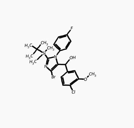 COc1cc(C(O)c2c(Br)nc([Si](C)(C)C(C)(C)C)n2-c2ccc(F)cc2)ccc1Cl